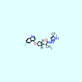 CC(C(=O)Nc1cc(C(F)(F)F)[nH]n1)[C@H]1[C@@H]2C[C@@H](Oc3ccnc4ccc(F)cc34)C[C@@H]21